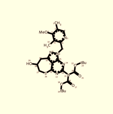 COc1c(C)cnc(Cn2nc3c4c(nc(N(C(=O)OC(C)(C)C)C(=O)OC(C)(C)C)nc42)SCC(O)C3)c1C